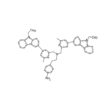 Cc1cc(-c2ccc3c(c2)c2ccccc2n3CC=O)cc(CN(CCc2ccc(N)cc2)Cc2cc(-c3ccc4c(c3)c3ccccc3n4CC=O)cc(C)n2)n1